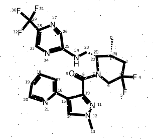 C[C@@H]1CC(F)(F)CN(C(=O)c2nn(C)cc2-c2ccccn2)[C@@H]1CNc1cnc(C(F)(F)F)cn1